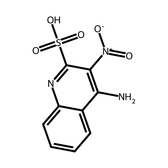 Nc1c([N+](=O)[O-])c(S(=O)(=O)O)nc2ccccc12